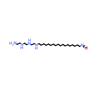 NCCNCCNCCNCCCCCCCCCCCCCCCCCCN=C=O